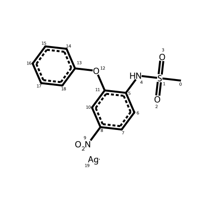 CS(=O)(=O)Nc1ccc([N+](=O)[O-])cc1Oc1ccccc1.[Ag]